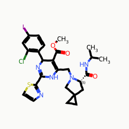 COC(=O)C1=C(CN2CC3(CC3)C[C@H]2C(=O)NC(C)C)NC(c2nccs2)=NC1c1ccc(I)cc1Cl